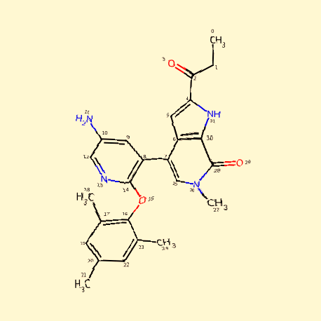 CCC(=O)c1cc2c(-c3cc(N)cnc3Oc3c(C)cc(C)cc3C)cn(C)c(=O)c2[nH]1